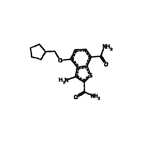 NC(=O)c1sc2c(C(N)=O)ccc(OCC3CCCC3)c2c1N